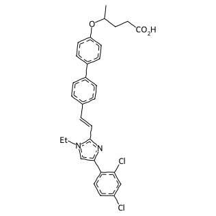 CCn1cc(-c2ccc(Cl)cc2Cl)nc1/C=C/c1ccc(-c2ccc(OC(C)CCC(=O)O)cc2)cc1